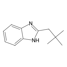 CC(C)(C)Cc1nc2ccccc2[nH]1